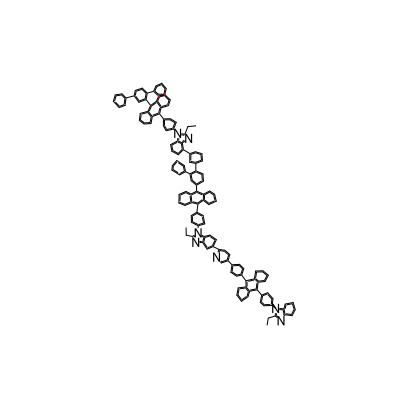 CCc1nc2ccccc2n1-c1ccc(-c2c3ccccc3c(-c3ccc(-c4ccc(-c5ccc6c(c5)nc(CC)n6-c5ccc(-c6c7ccccc7c(-c7ccc(-c8cccc(-c9cccc%10c9nc(CC)n%10-c9ccc(-c%10c%11ccccc%11c(-c%11cc(-c%12ccccc%12)ccc%11-c%11ccccc%11)c%11ccccc%10%11)cc9)c8)c(-c8ccccc8)c7)c7ccccc67)cc5)nc4)cc3)c3ccccc23)cc1